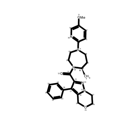 COc1ccc(N2CC[C@@H](C)N(C(=O)c3nn4c(c3-c3ccccc3)COCC4)CC2)nc1